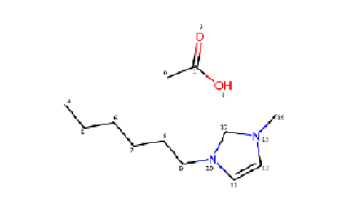 CC(=O)O.CCCCCCN1C=CN(C)C1